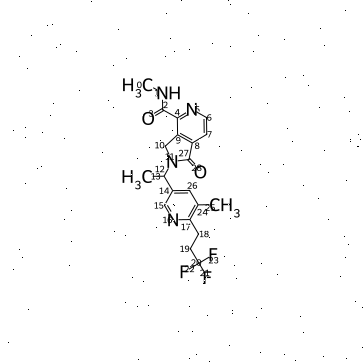 CNC(=O)c1nccc2c1CN(C(C)c1cnc(CCC(F)(F)F)c(C)c1)C2=O